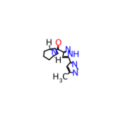 Cc1cc(-c2cc(C(=O)N3[C@@H]4CCC[C@@H]3CC4)n[nH]2)ncn1